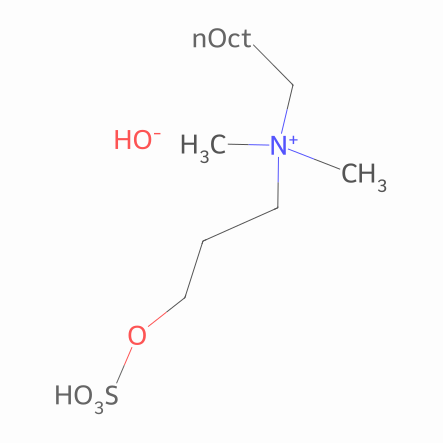 CCCCCCCCC[N+](C)(C)CCCOS(=O)(=O)O.[OH-]